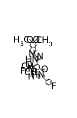 COc1cc2cnc(-c3ncc(-c4cc(NC(=O)C(C)(C)F)cc(C(=O)NCCc5ccc(F)cc5)c4)[nH]3)cc2cc1OC